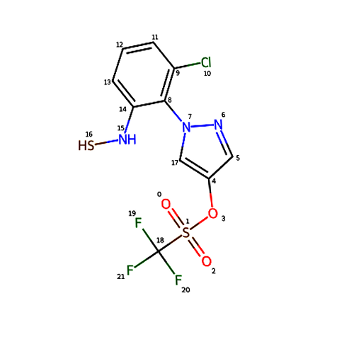 O=S(=O)(Oc1cnn(-c2c(Cl)cccc2NS)c1)C(F)(F)F